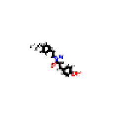 Cc1ccc(CCNC(=O)CCc2ccc(O)cc2)cc1